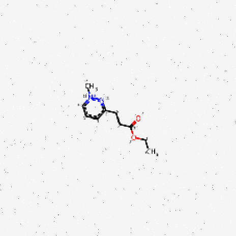 CCOC(=O)CCc1ccc[n+](C)n1